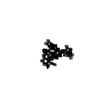 C#Cc1c(F)ccc2cc(O)cc(Oc3nc4nc(OCC56CCCN5CCC6)nc(N5CC6CCC(C5)N6)c4n3C)c12